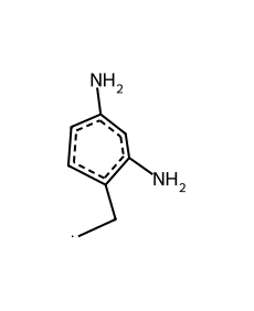 [CH2]Cc1ccc(N)cc1N